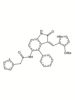 COc1cc[nH]c1C=C1C(=O)Nc2ccc(NC(=O)Cc3cccs3)c(-c3ccccc3)c21